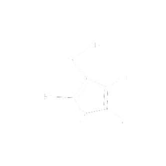 CCc1sc(C)c(CC)c1CCl